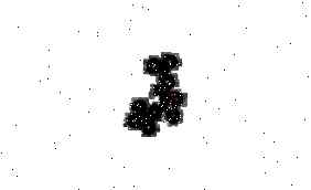 CC1(C)c2cc(N(c3ccc4c(c3)-c3ccccc3C4(c3ccccc3)c3ccccc3)c3ccccc3-c3ccccc3)ccc2-c2ccc(-n3c4ccccc4c4ccccc43)cc21